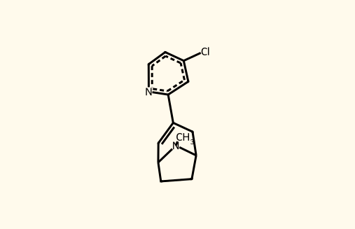 CN1C2C=C(c3cc(Cl)ccn3)CC1CC2